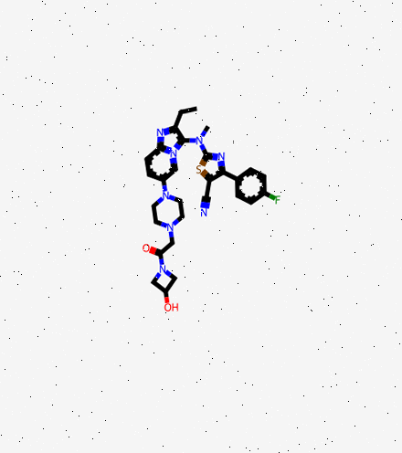 CCc1nc2ccc(N3CCN(CC(=O)N4CC(O)C4)CC3)cn2c1N(C)c1nc(-c2ccc(F)cc2)c(C#N)s1